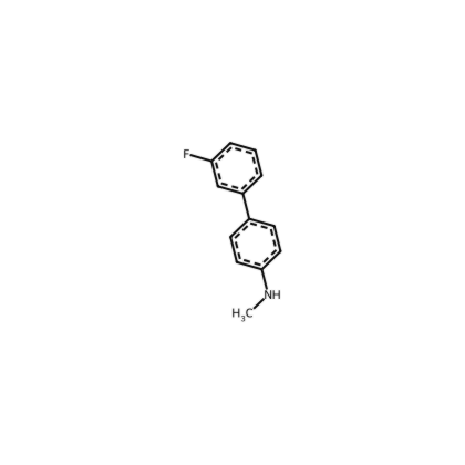 CNc1ccc(-c2cccc(F)c2)cc1